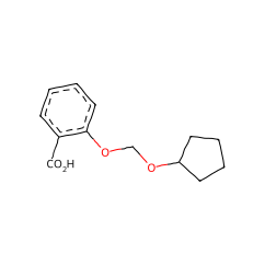 O=C(O)c1ccccc1OCOC1CCCC1